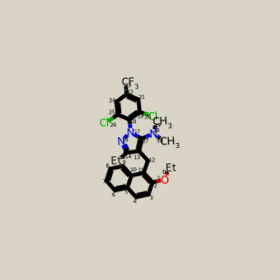 CCOc1ccc2ccccc2c1Cc1c(CC)nn(-c2c(Cl)cc(C(F)(F)F)cc2Cl)c1N(C)C